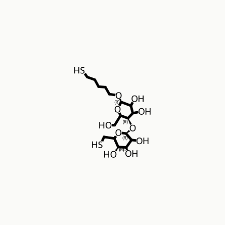 OCC1O[C@@H](OCCCCCS)C(O)C(O)[C@H]1O[C@@H]1OC(CS)[C@H](O)[C@H](O)C1O